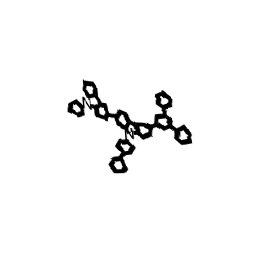 c1ccc(-c2ccc(-n3c4ccc(-c5cc(-c6ccccc6)cc(-c6ccccc6)c5)cc4c4ccc(-c5ccc6c(c5)c5ccccc5n6-c5ccccc5)cc43)cc2)cc1